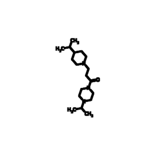 CC(C)C1CCN(CCC(=O)N2CCN(C(C)C)CC2)CC1